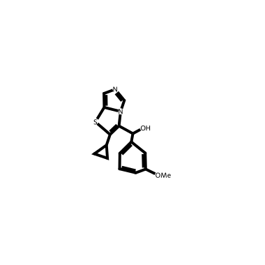 COc1cccc(C(O)c2c(C3CC3)sc3cncn23)c1